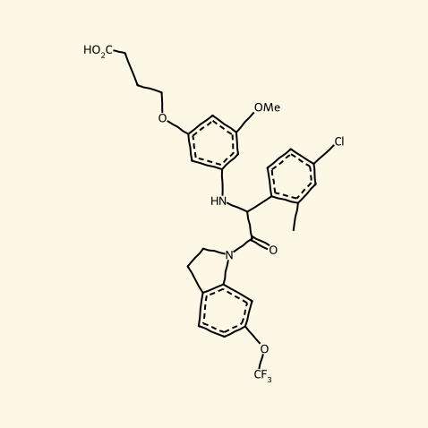 COc1cc(NC(C(=O)N2CCc3ccc(OC(F)(F)F)cc32)c2ccc(Cl)cc2C)cc(OCCCC(=O)O)c1